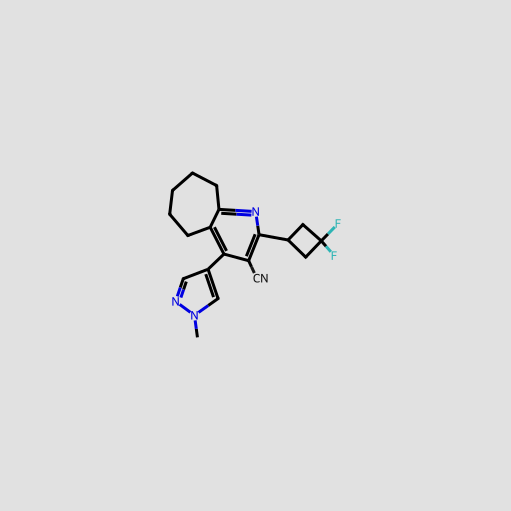 Cn1cc(-c2c(C#N)c(C3CC(F)(F)C3)nc3c2CCCCC3)cn1